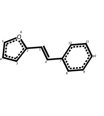 C(=C\c1ccco1)/c1ccccc1